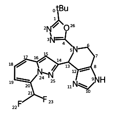 CC(C)(C)c1nnc(N2CCc3[nH]cnc3C2c2cc3cccc(C(F)F)n3n2)o1